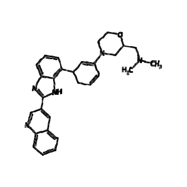 CN(C)CC1CN(C2=CC(c3cccc4nc(-c5cnc6ccccc6c5)[nH]c34)CC=C2)CCO1